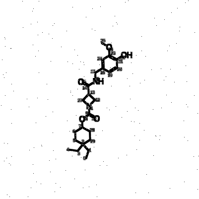 CCC1(CC)CCC(OC(=O)N2CC(C(=O)NCc3ccc(O)c(OC)c3)C2)CC1